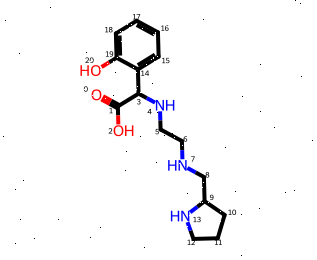 O=C(O)C(NCCNCC1CCCN1)c1ccccc1O